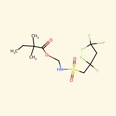 CCC(C)(C)C(=O)OCNS(=O)(=O)CC(F)(F)CC(F)(F)F